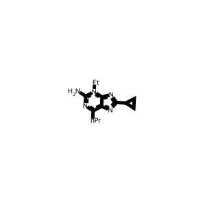 CCCc1nc(N)n(CC)c2nc(C3CC3)nc1-2